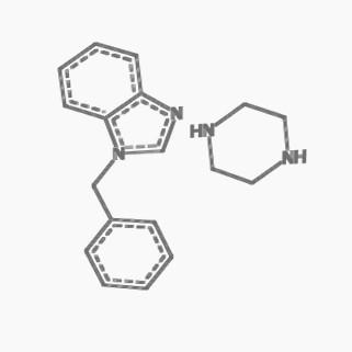 C1CNCCN1.c1ccc(Cn2cnc3ccccc32)cc1